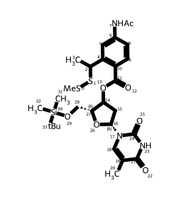 CSSC(C)c1cc(NC(C)=O)ccc1C(=O)OC1C[C@H](n2cc(C)c(=O)[nH]c2=O)O[C@@H]1CO[Si](C)(C)C(C)(C)C